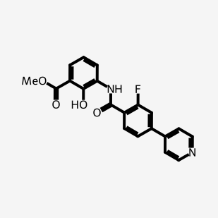 COC(=O)c1cccc(NC(=O)c2ccc(-c3ccncc3)cc2F)c1O